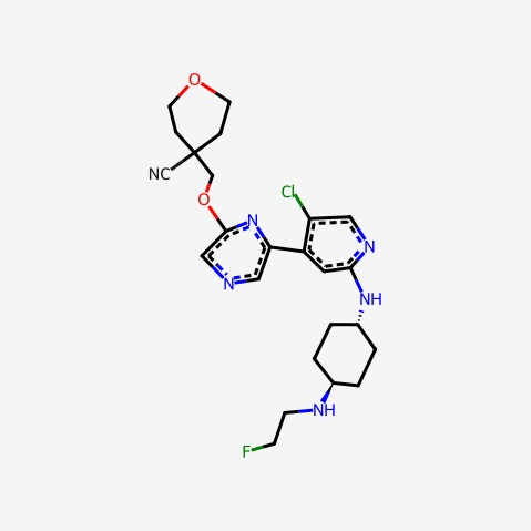 N#CC1(COc2cncc(-c3cc(N[C@H]4CC[C@H](NCCF)CC4)ncc3Cl)n2)CCOCC1